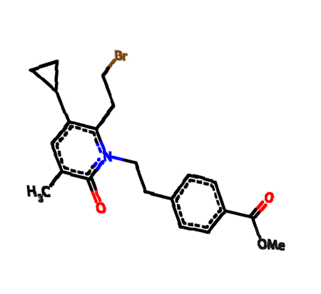 COC(=O)c1ccc(CCn2c(CCBr)c(C3CC3)cc(C)c2=O)cc1